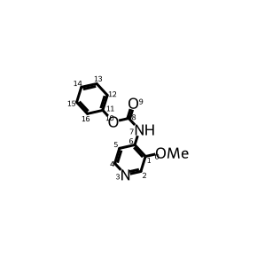 COc1cnccc1NC(=O)Oc1ccccc1